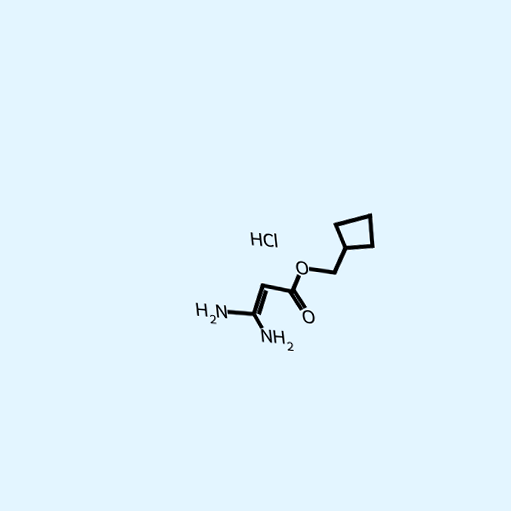 Cl.NC(N)=CC(=O)OCC1CCC1